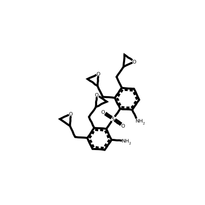 Nc1ccc(CC2CO2)c(CC2CO2)c1S(=O)(=O)c1c(N)ccc(CC2CO2)c1CC1CO1